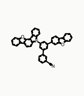 N#Cc1cccc(-c2cc(-c3ccc4c(c3)oc3ccccc34)cc(-n3c4ccccc4c4c5oc6ccccc6c5ccc43)c2)c1